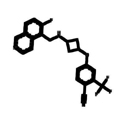 N#Cc1ccc(OC2CC(NCc3c(F)ccc4cnccc34)C2)cc1C(F)(F)F